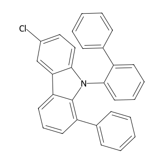 Clc1ccc2c(c1)c1cccc(-c3ccccc3)c1n2-c1ccccc1-c1ccccc1